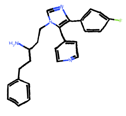 NC(CCc1ccccc1)CCn1cnc(-c2ccc(F)cc2)c1-c1ccncc1